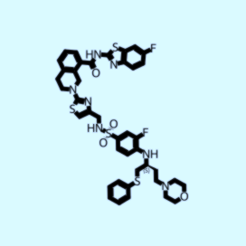 O=C(Nc1nc2ccc(F)cc2s1)c1cccc2c1CN(c1nc(CNS(=O)(=O)c3ccc(N[C@@H](CCN4CCOCC4)CSc4ccccc4)c(F)c3)cs1)CC2